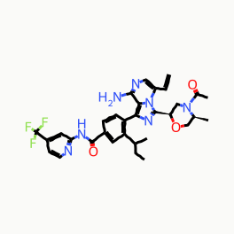 C=Cc1cnc(N)c2c(-c3ccc(C(=O)Nc4cc(C(F)(F)F)ccn4)cc3C(C)CC)nc([C@H]3CN(C(C)=O)[C@@H](C)CO3)n12